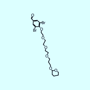 O=Cc1cc(Br)c(OCCOCCOCCOCCCOC2CCCCO2)c(Br)c1